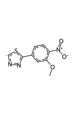 COc1cc(-c2nn[c]s2)ccc1[N+](=O)[O-]